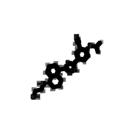 CC(C)Oc1ccc(-c2nnc(-c3cccc4c3CCC[C@@H]4NCCO)s2)cc1C#N